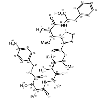 CC[C@H](C)[C@@H]([C@@H](CC(=O)N1CCC[C@H]1[C@H](OC)[C@@H](C)C(=O)NC(Cc1ccccc1)C(=O)O)OC)N(C)C(=O)[C@@H](NC(=O)[C@H](C(C)C)N(C)C(=O)OCc1ccc(N)cc1)C(C)C